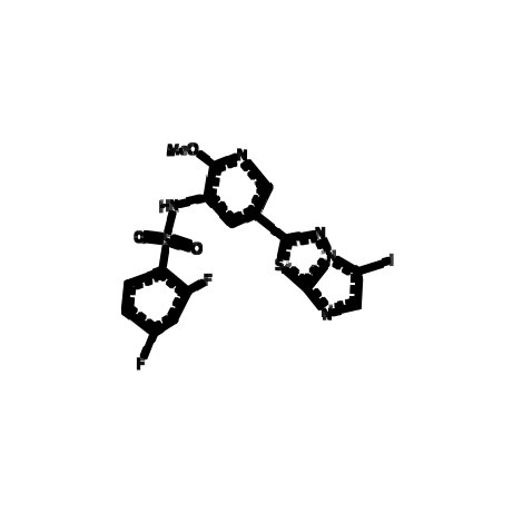 COc1ncc(-c2nn3c(I)cnc3s2)cc1NS(=O)(=O)c1ccc(F)cc1F